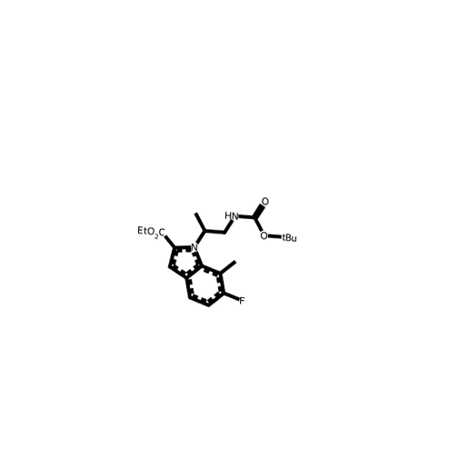 CCOC(=O)c1cc2ccc(F)c(C)c2n1C(C)CNC(=O)OC(C)(C)C